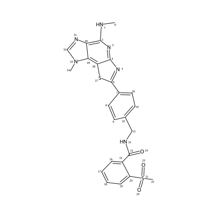 CNc1nc2nc(-c3ccc(CNC(=O)c4ccccc4S(C)(=O)=O)cc3)sc2c2c1ncn2C